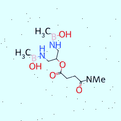 CNC(=O)CCC(=O)OC(CNB(C)O)CNB(C)O